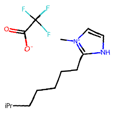 CC(C)CCCCCc1[nH]cc[n+]1C.O=C([O-])C(F)(F)F